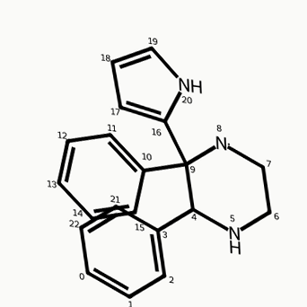 c1ccc(C2NCC[N]C2(c2ccccc2)c2ccc[nH]2)cc1